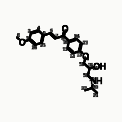 COc1ccc(/C=C/C(=O)c2ccc(OCC(O)CNC(C)C)cc2)cc1